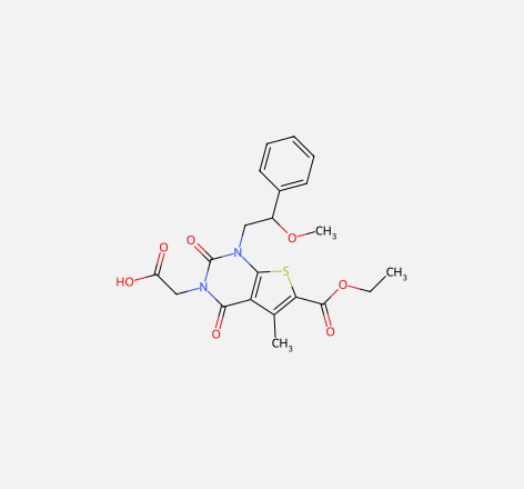 CCOC(=O)c1sc2c(c1C)c(=O)n(CC(=O)O)c(=O)n2CC(OC)c1ccccc1